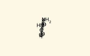 CC(C)(C)OC(=O)CCOCCCNC(=O)CCCN